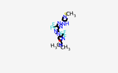 CSN1CCC(Nc2ncc(C(F)(F)F)c(-c3cn(-c4ccc(CN(C)C)nc4C(F)(F)F)cn3)n2)CC1